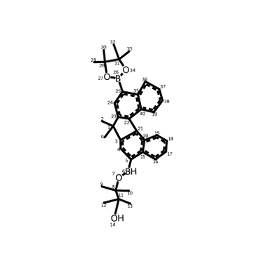 CC1(C)c2cc(BOC(C)(C)C(C)(C)O)c3ccccc3c2-c2c1cc(B1OC(C)(C)C(C)(C)O1)c1ccccc21